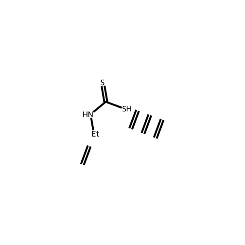 C=C.C=C.C=C.C=C.[CH2]CNC(=S)S